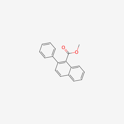 COC(=O)c1c(-c2ccccc2)ccc2ccccc12